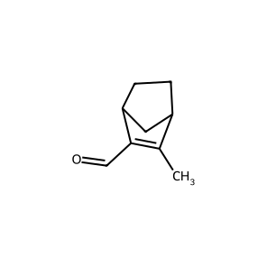 CC1=C(C=O)C2CCC1C2